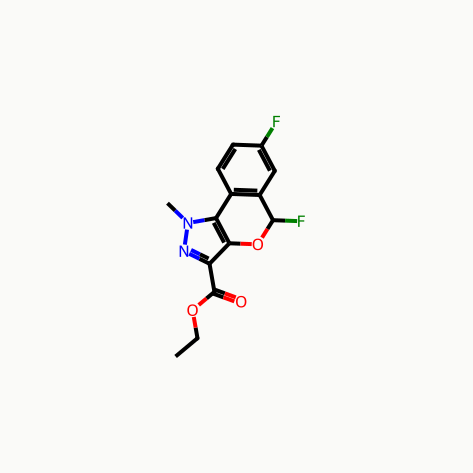 CCOC(=O)c1nn(C)c2c1OC(F)c1cc(F)ccc1-2